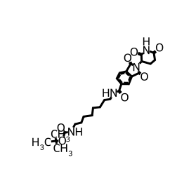 CC(C)(C)OC(=O)NCCCCCCCCNC(=O)c1ccc2c(c1)C(=O)N(C1CCC(=O)NC1=O)C2=O